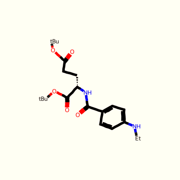 CCNc1ccc(C(=O)N[C@@H](CCC(=O)OC(C)(C)C)C(=O)OC(C)(C)C)cc1